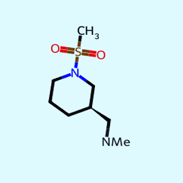 CNC[C@H]1CCCN(S(C)(=O)=O)C1